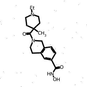 CCN1CCC(C)(C(=O)N2CCc3cc(C(=O)NO)ccc3C2)CC1